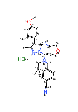 COc1ccc(-c2c(C)nn3c(N(Cc4ccc(C#N)cc4)CC4CC4)c4c(nc23)COC4)c(C)c1.Cl